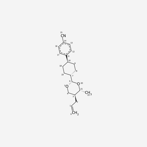 C=CC[C@H]1CO[C@H]([C@H]2CC[C@H](c3ccc(C#N)cc3)CC2)O[C@@H]1C